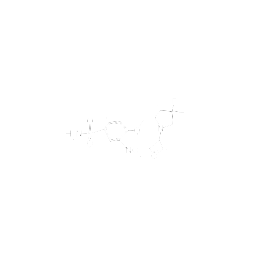 NS(=O)(=O)c1ccc(OC[C@@H]2CC(F)(F)CN2C2COC2)c([N+](=O)[O-])c1